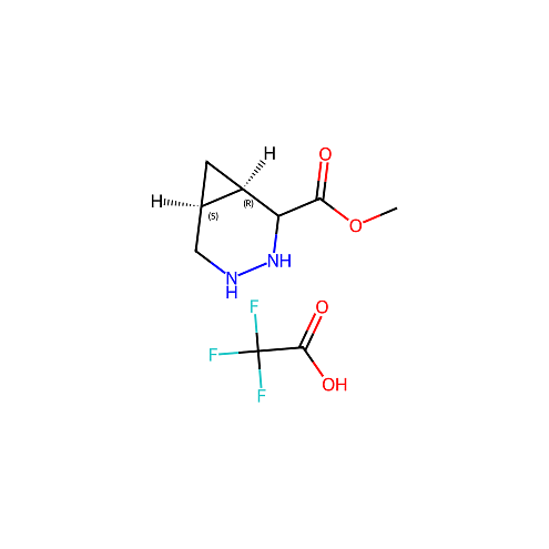 COC(=O)C1NNC[C@H]2C[C@@H]12.O=C(O)C(F)(F)F